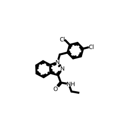 CCNC(=O)c1nn(Cc2ccc(Cl)cc2Cl)c2ccccc12